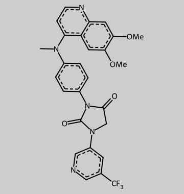 COc1cc2nccc(N(C)c3ccc(N4C(=O)CN(c5cncc(C(F)(F)F)c5)C4=O)cc3)c2cc1OC